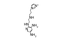 C[n+]1ccn(CCCNCCNc2ncc(N)cc2N)c1